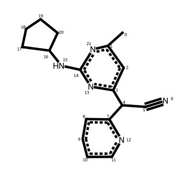 Cc1cc(C(C#N)c2ccccn2)nc(NC2CCCC2)n1